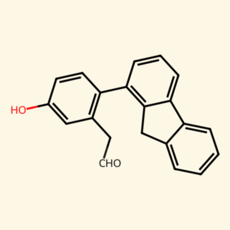 O=CCc1cc(O)ccc1-c1cccc2c1Cc1ccccc1-2